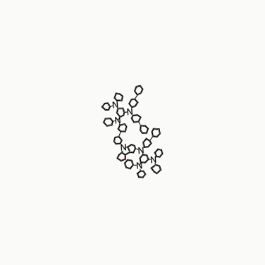 c1ccc(-c2ccc(N(c3ccc(-c4ccccc4)cc3)c3cc(N(c4ccccc4)c4ccccc4)cc(N(c4ccccc4)c4cccc(-c5cccc(-n6c7ccccc7c7cc(N(c8ccc(-c9ccccc9)cc8)c8cc(N(c9ccccc9)c9ccccc9)cc(N(c9ccccc9)c9ccccc9)c8)ccc76)c5)c4)c3)cc2)cc1